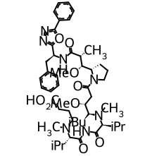 CC[C@H](C)[C@@H]([C@@H](CC(=O)N1CCC[C@H]1[C@H](OC)[C@@H](C)C(=O)N[C@@H](Cc1ccccc1)c1nnc(-c2ccccc2)o1)OC)N(C)[C@H](C(=O)NC(=O)[C@H](C(C)C)N(C)CCCC(=O)O)C(C)C